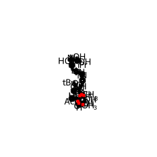 CC(=O)O[C@@]12CO[C@@H]1C[C@H](O)[C@@]1(C)C(=O)[C@H](O)C3=C(C)[C@@H](OC(=O)[C@H](OC(=O)CC4CCN(c5ncnc(N6CCN(Cc7ccc(-n8c(O)nnc8-c8cc(C(C)C)c(O)cc8O)cc7)CC6)n5)CC4)[C@@H](NC(=O)OC(C)(C)C)c4ccccc4)C[C@@](O)([C@@H](OC(=O)c4ccccc4)[C@H]21)C3(C)C